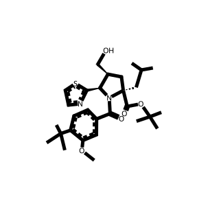 COc1cc(C(=O)N2[C@@H](c3nccs3)[C@@H](CO)C[C@@]2(CC(C)C)C(=O)OC(C)(C)C)ccc1C(C)(C)C